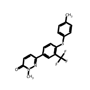 Cc1ccc(Sc2ccc(-c3ccc(=O)n(C)n3)cc2C(F)(F)F)cc1